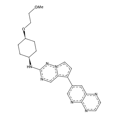 COCCO[C@H]1CC[C@@H](Nc2ncc3c(-c4cnc5nccnc5c4)ccn3n2)CC1